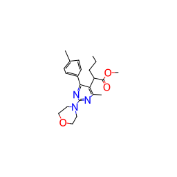 CCCC(C(=O)OC)c1c(C)nc(N2CCOCC2)nc1-c1ccc(C)cc1